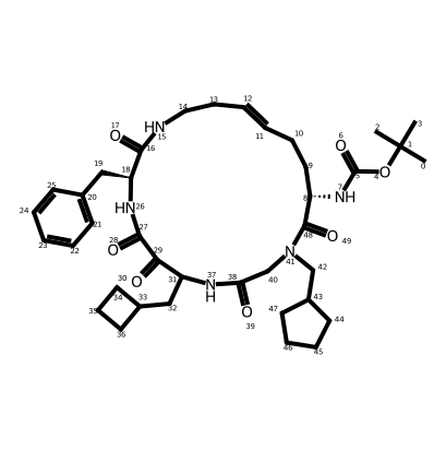 CC(C)(C)OC(=O)N[C@H]1CC/C=C/CCNC(=O)[C@H](Cc2ccccc2)NC(=O)C(=O)C(CC2CCC2)NC(=O)CN(CC2CCCC2)C1=O